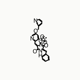 CS(=O)(=O)On1c(=O)c(=Cc2ccccc2)[nH]c(=O)c1=Cc1ccc(OCc2cccnc2)cn1